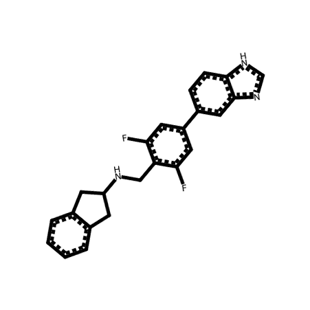 Fc1cc(-c2ccc3[nH]cnc3c2)cc(F)c1CNC1Cc2ccccc2C1